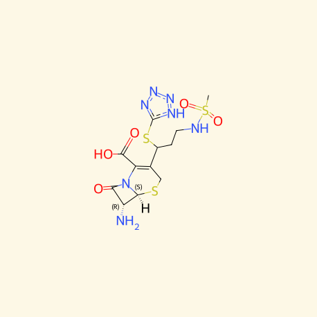 CS(=O)(=O)NCCC(Sc1nnn[nH]1)C1=C(C(=O)O)N2C(=O)[C@@H](N)[C@@H]2SC1